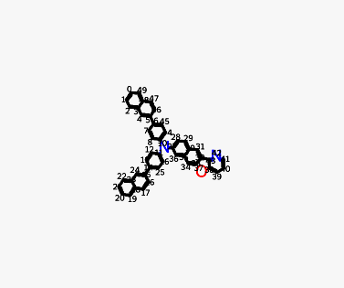 c1ccc2cc(-c3ccc(N(c4ccc(-c5ccc6ccccc6c5)cc4)c4ccc5cc6c(cc5c4)oc4cccnc46)cc3)ccc2c1